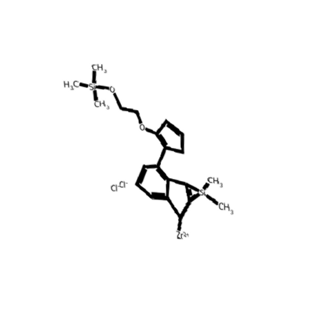 C[Si](C)(C)OCCOC1=C(c2cccc3c2C2=C([CH]3[Zr+2])[Si]2(C)C)CC=C1.[Cl-].[Cl-]